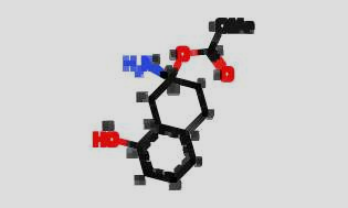 COC(=O)O[C@]1(N)CCc2cccc(O)c2C1